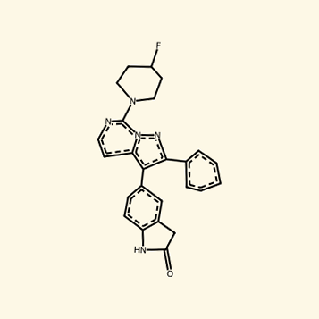 O=C1Cc2cc(-c3c(-c4ccccc4)nn4c(N5CCC(F)CC5)nccc34)ccc2N1